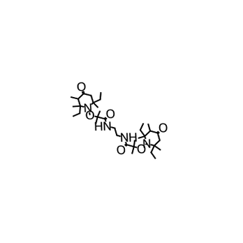 CCC1(C)CC(=O)C(C)C(C)(CC)N1OC(C)(C)C(=O)NCCNC(=O)C(C)(C)ON1C(C)(CC)CC(=O)C(C)C1(C)CC